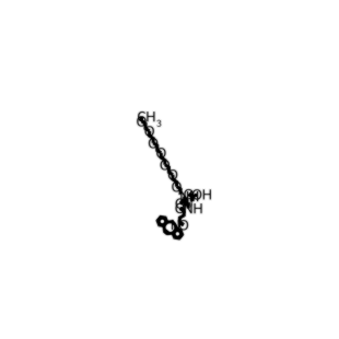 COCCOCCOCCOCCOCCOCCOCCNC(=O)[C@H](CC(=O)O)NC(=O)CCC(=O)N1Cc2ccccc2C#Cc2ccccc21